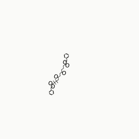 CC(C)(CC(=O)CCC(=O)CCCC(=O)OCc1ccccc1)C(C)(C)C(=O)OCc1ccccc1